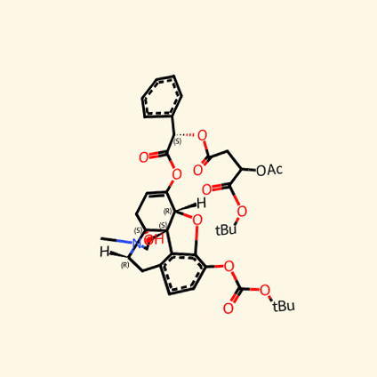 CC(=O)OC(CC(=O)O[C@H](C(=O)OC1=CC[C@@]2(O)[C@H]3Cc4ccc(OC(=O)OC(C)(C)C)c5c4[C@@]2(CCN3C)[C@H]1O5)c1ccccc1)C(=O)OC(C)(C)C